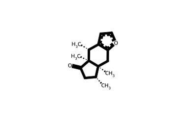 C[C@@H]1CC(=O)[C@@]2(C)[C@H](C)c3ccoc3C[C@@]12C